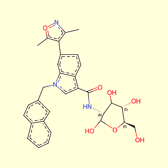 Cc1noc(C)c1-c1ccc2c(C(=O)N[C@H]3C(O)O[C@H](CO)[C@@H](O)C3O)cn(Cc3ccc4ccccc4c3)c2c1